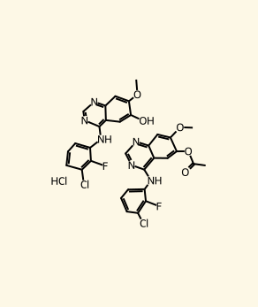 COc1cc2ncnc(Nc3cccc(Cl)c3F)c2cc1O.COc1cc2ncnc(Nc3cccc(Cl)c3F)c2cc1OC(C)=O.Cl